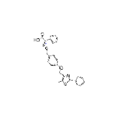 Cc1oc(-c2ccccc2)nc1COc1ccc(CO/N=C(/C(=O)O)c2ccccc2)cc1